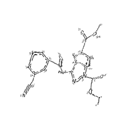 CCOC(=O)n1nc(NC(=O)c2cccc(C#N)c2)c2sc(C(=O)OC)cc21